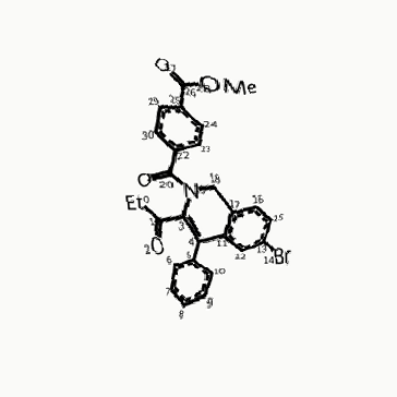 CCC(=O)C1=C(c2ccccc2)c2cc(Br)ccc2CN1C(=O)c1ccc(C(=O)OC)cc1